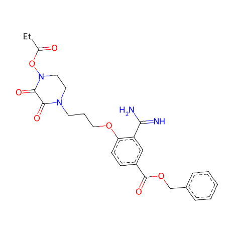 CCC(=O)ON1CCN(CCCOc2ccc(C(=O)OCc3ccccc3)cc2C(=N)N)C(=O)C1=O